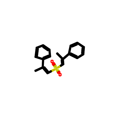 CC(=CS(=O)(=O)C=C(C)c1ccccc1)c1ccccc1